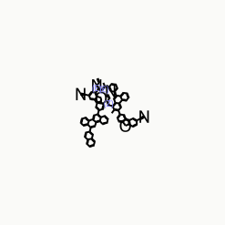 C=C/C=C\c1c(C)c(-c2ccc3oc4ccc(C#N)cc4c3c2)cc2c1cc(-c1cccc(/C(C)=C/C(=N\C=C)c3cc(C#N)cc4c3oc3ccc(-c5cc6c7ccccc7c(-c7ccc8ccccc8c7)cc6c6ccccc56)cc34)n1)c1ccccc12